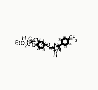 CCOC(=O)C(C)(C)Oc1ccc(OCc2nc(-c3ccc(C(F)(F)F)cc3)n[nH]2)cc1